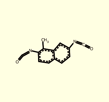 Cc1c(N=C=O)ccc2ccc(N=C=O)cc12